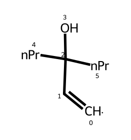 [CH]=CC(O)(CCC)CCC